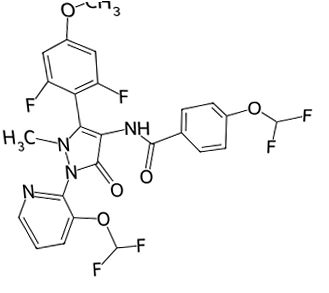 COc1cc(F)c(-c2c(NC(=O)c3ccc(OC(F)F)cc3)c(=O)n(-c3ncccc3OC(F)F)n2C)c(F)c1